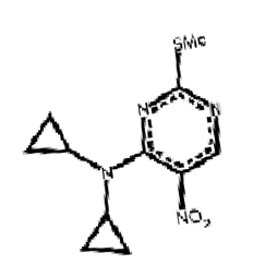 CSc1ncc([N+](=O)[O-])c(N(C2CC2)C2CC2)n1